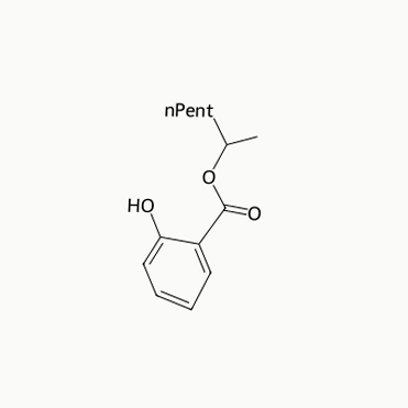 CCCCCC(C)OC(=O)c1ccccc1O